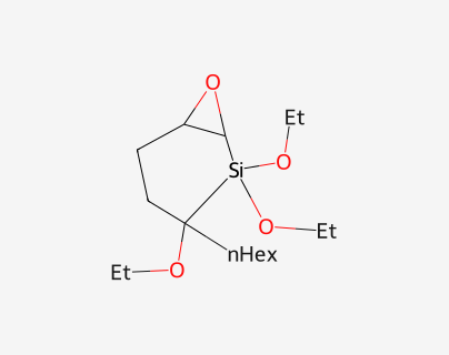 CCCCCCC1(OCC)CCC2OC2[Si]1(OCC)OCC